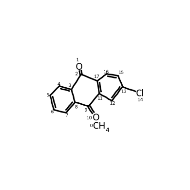 C.O=C1c2ccccc2C(=O)c2cc(Cl)ccc21